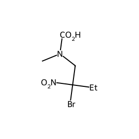 CCC(Br)(CN(C)C(=O)O)[N+](=O)[O-]